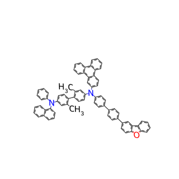 Cc1cc(N(c2ccc(-c3ccc(-c4ccc5oc6ccccc6c5c4)cc3)cc2)c2ccc3c4ccccc4c4ccccc4c3c2)ccc1-c1ccc(N(c2ccccc2)c2cccc3ccccc23)cc1C